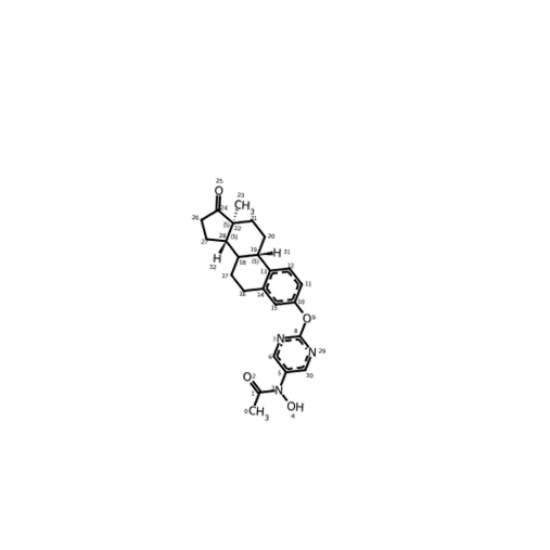 CC(=O)N(O)c1cnc(Oc2ccc3c(c2)CCC2[C@@H]3CC[C@]3(C)C(=O)CC[C@@H]23)nc1